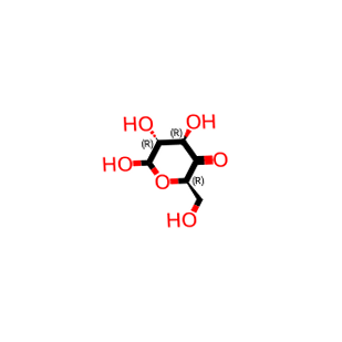 O=C1[C@@H](CO)OC(O)[C@H](O)[C@H]1O